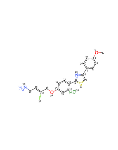 COc1ccc(-c2csc(-c3ccc(OCC(F)=CCN)cc3)n2)cc1.Cl